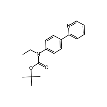 CCN(C(=O)OC(C)(C)C)c1ccc(-c2ccccn2)cc1